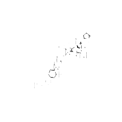 Nc1nc2c(sc(=O)n2CCN2CCN(c3ccc(OCCS)cc3F)CC2)c2nc(-c3ccco3)nn12